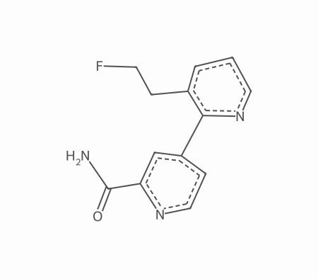 NC(=O)c1cc(-c2ncccc2CCF)ccn1